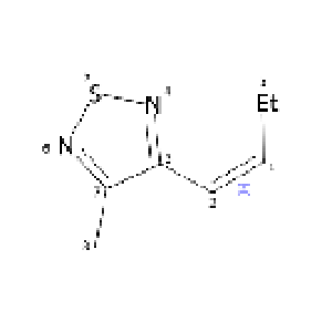 CC/C=C\c1nsnc1C